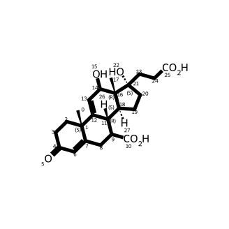 C[C@]12CCC(=O)C=C1CC(C(=O)O)[C@@H]1C2=CC(O)[C@@]2(C)[C@H]1CC[C@]2(O)CCC(=O)O